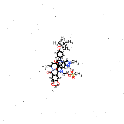 Cc1c(C(=O)N(c2ccc(O[Si](C)(C)C(C)(C)C)cc2)c2cnn(C)c2)cc(-c2cc3c(cc2C(=O)N2Cc4ccccc4C[C@H]2C)OCO3)n1CCOS(C)(=O)=O